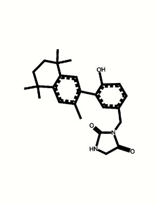 Cc1cc2c(cc1-c1cc(CN3C(=O)CNC3=O)ccc1O)C(C)(C)CCC2(C)C